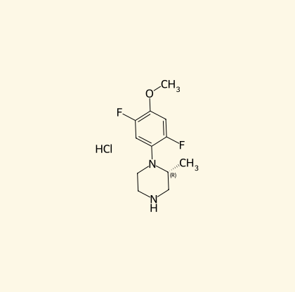 COc1cc(F)c(N2CCNC[C@H]2C)cc1F.Cl